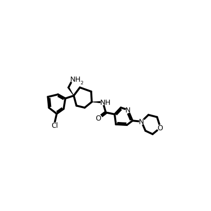 NC[C@]1(c2cccc(Cl)c2)CC[C@H](NC(=O)c2ccc(N3CCOCC3)nc2)CC1